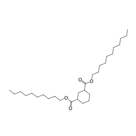 CCCCCCCCCCCOC(=O)C1CCCC(C(=O)OCCCCCCCCCC)C1